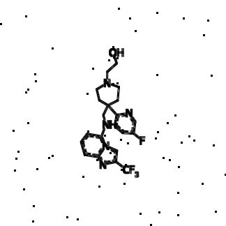 OCCN1CCC(CNc2cccc3nc(C(F)(F)F)cn23)(c2ccc(F)cn2)CC1